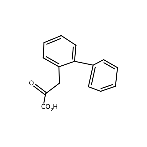 O=C(O)C(=O)Cc1ccccc1-c1ccccc1